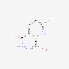 O=c1[nH]cc(Br)c2nc(C(F)(F)F)ccc12